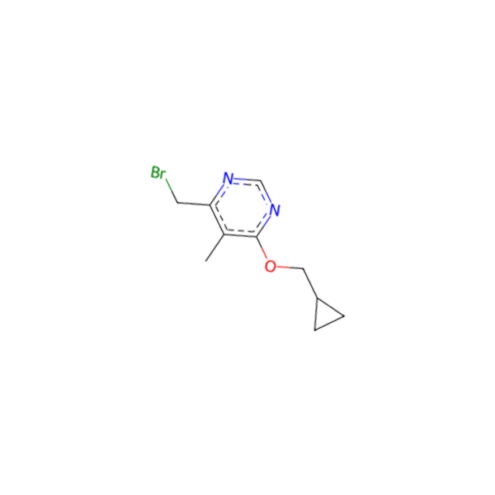 Cc1c(CBr)ncnc1OCC1CC1